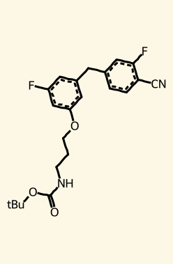 CC(C)(C)OC(=O)NCCCOc1cc(F)cc(Cc2ccc(C#N)c(F)c2)c1